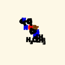 CC(C)(C)Cn1nnc2c(Br)c(OCc3cccc(-c4ncccc4C#N)c3)ccc21